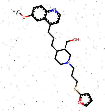 COc1ccc2nccc(CCC[C@@H]3CCN(CCCSc4ccco4)C[C@@H]3CO)c2c1